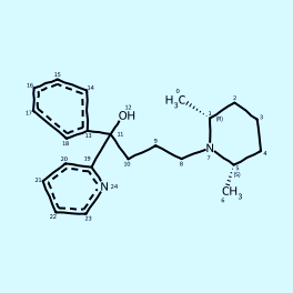 C[C@@H]1CCC[C@H](C)N1CCCC(O)(c1ccccc1)c1ccccn1